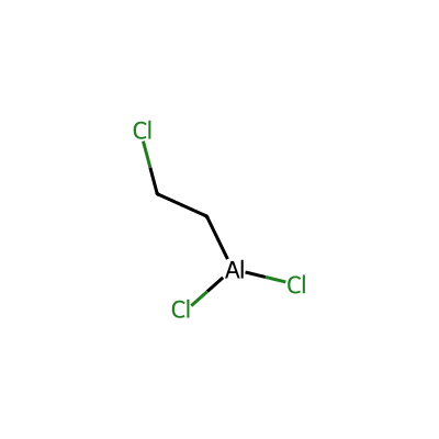 ClC[CH2][Al]([Cl])[Cl]